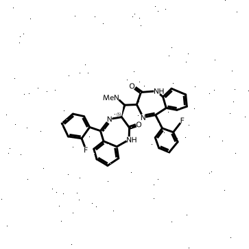 CNC(C1N=C(c2ccccc2F)c2ccccc2NC1=O)[C@@H]1N=C(c2ccccc2F)c2ccccc2NC1=O